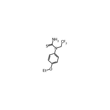 CCOc1ccc(N(CC(F)(F)F)C(N)=S)cc1